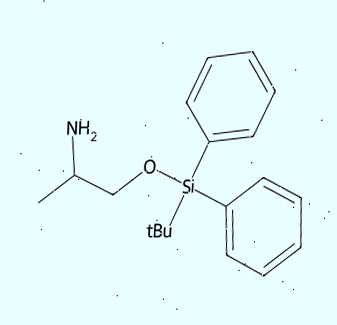 CC(N)CO[Si](c1ccccc1)(c1ccccc1)C(C)(C)C